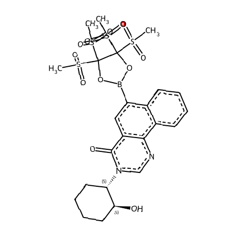 CS(=O)(=O)C1(S(C)(=O)=O)OB(c2cc3c(=O)n([C@H]4CCCC[C@@H]4O)cnc3c3ccccc23)OC1(S(C)(=O)=O)S(C)(=O)=O